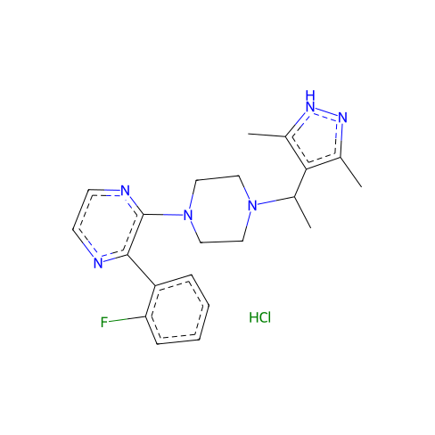 Cc1n[nH]c(C)c1C(C)N1CCN(c2nccnc2-c2ccccc2F)CC1.Cl